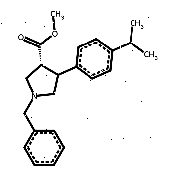 COC(=O)[C@H]1CN(Cc2ccccc2)CC1c1ccc(C(C)C)cc1